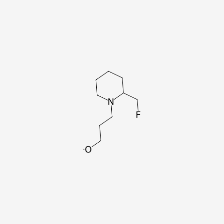 [O]CCCN1CCCCC1CF